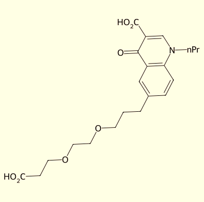 CCCn1cc(C(=O)O)c(=O)c2cc(CCCOCCOCCC(=O)O)ccc21